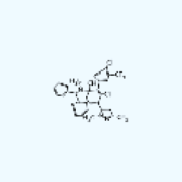 CN(C(c1ccccc1)c1ccccc1)C1(C)CC=C(c2cc(C(F)(F)F)nn2C)C(Cl)=C1c1ccc(Cl)c(C(F)(F)F)c1